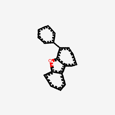 [c]1ccc(-c2ccccc2)c2oc3ccccc3c12